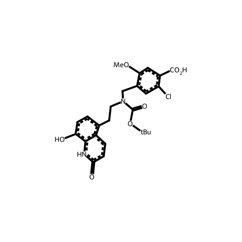 COc1cc(C(=O)O)c(Cl)cc1CN(CCc1ccc(O)c2[nH]c(=O)ccc12)C(=O)OC(C)(C)C